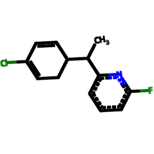 CC(c1cccc(F)n1)C1C=CC(Cl)=CC1